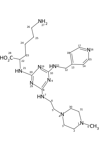 CN1CCN(CCNc2nc(NCc3ccncc3)nc(NC(CCCCN)C(=O)O)n2)CC1